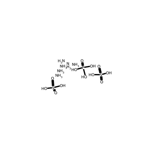 N.N.N.N.N.N.O=P(O)(O)O.O=S(=O)(O)O.O=S(=O)(O)O